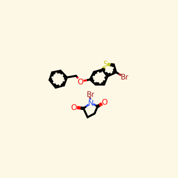 Brc1csc2cc(OCc3ccccc3)ccc12.O=C1CCC(=O)N1Br